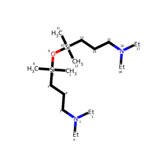 CCN(CC)CCC[Si](C)(C)O[Si](C)(C)CCCN(CC)CC